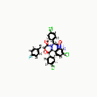 NC(=O)[C@H](c1ccc(Cl)cc1)N1C(=O)[C@@H](Cc2ccc(F)cc2)O[C@H](c2ccc(Cl)cc2)[C@@H]1c1ccc(Cl)cc1